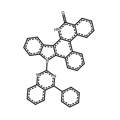 O=c1[nH]c2c(c3ccccc13)c1ccccc1c1c2c2ccccc2n1-c1nc(-c2ccccc2)c2ccccc2n1